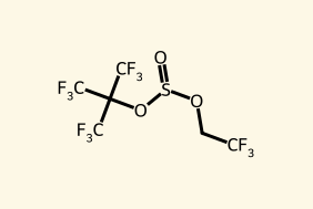 O=S(OCC(F)(F)F)OC(C(F)(F)F)(C(F)(F)F)C(F)(F)F